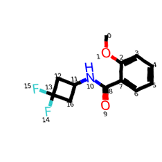 COc1ccccc1C(=O)NC1CC(F)(F)C1